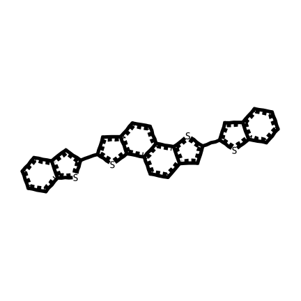 c1ccc2sc(-c3cc4ccc5c(ccc6cc(-c7cc8ccccc8s7)sc65)c4s3)cc2c1